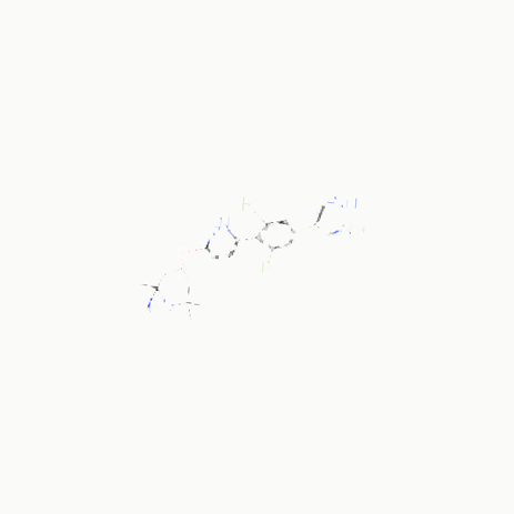 CC1(C)CC(Oc2ccc(-c3c(F)cc(/C(C=N)=C/N)cc3F)nn2)CC(C)(C)N1